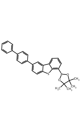 CC1(C)OB(c2cccc3c2sc2ccc(-c4ccc(-c5ccccc5)cc4)cc23)OC1(C)C